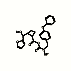 CCCN(Cc1ccc(Oc2ccccc2)cc1)C(=O)OC(=O)C1CCC1C(OC(C)=O)c1ccco1